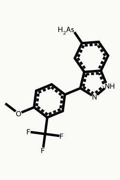 COc1ccc(-c2n[nH]c3ccc([AsH2])cc23)cc1C(F)(F)F